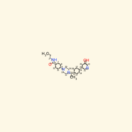 CCCNC(=O)c1ccc(N2CCN(C(C)c3ccc(-c4cncc(O)c4)cc3)CC2)cc1